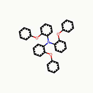 c1ccc(Oc2ccccc2N(c2ccccc2Oc2ccccc2)c2ccccc2Oc2ccccc2)cc1